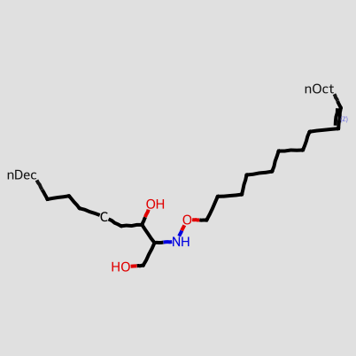 CCCCCCCC/C=C\CCCCCCCCONC(CO)C(O)CCCCCCCCCCCCCCC